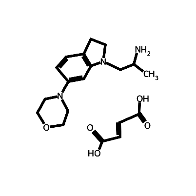 CC(N)CN1CCc2ccc(N3CCOCC3)cc21.O=C(O)C=CC(=O)O